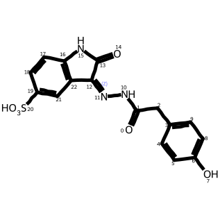 O=C(Cc1ccc(O)cc1)N/N=C1\C(=O)Nc2ccc(S(=O)(=O)O)cc21